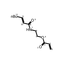 C=CC(=O)OCCNC(=O)C=CCCCC